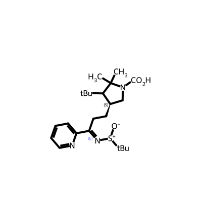 CC(C)(C)C1[C@H](CC/C(=N\[S+]([O-])C(C)(C)C)c2ccccn2)CN(C(=O)O)C1(C)C